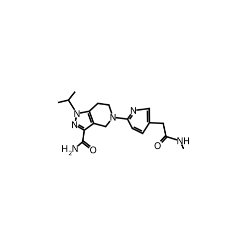 CNC(=O)Cc1ccc(N2CCc3c(c(C(N)=O)nn3C(C)C)C2)nc1